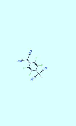 CC(C#N)(C#N)C1C(F)=C(F)C(=C(C#N)C#N)C(F)=C1F